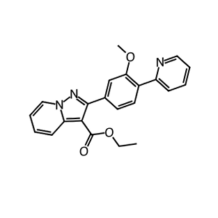 CCOC(=O)c1c(-c2ccc(-c3ccccn3)c(OC)c2)nn2ccccc12